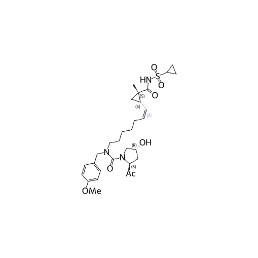 COc1ccc(CN(CCCCC/C=C\[C@@H]2C[C@]2(C)C(=O)NS(=O)(=O)C2CC2)C(=O)N2C[C@H](O)C[C@H]2C(C)=O)cc1